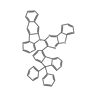 c1ccc(C2(c3ccccc3)c3ccccc3-c3c(-c4nc5sc6ccccc6c5nc4-n4c5ccccc5c5cc6ccccc6cc54)cccc32)cc1